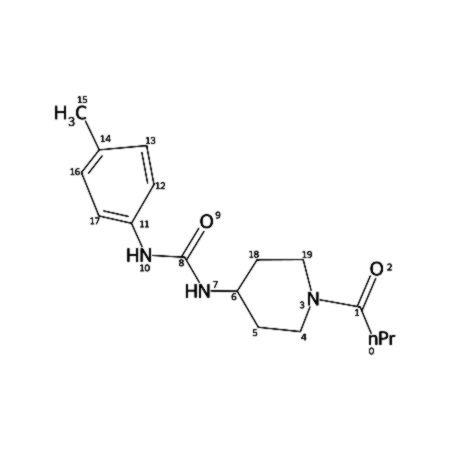 CCCC(=O)N1CCC(NC(=O)Nc2ccc(C)cc2)CC1